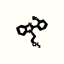 C=CCn1c(-c2ccccc2Br)nc2ccccc21